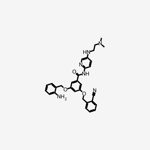 CN(C)CCNc1ccc(NC(=O)c2cc(OCc3ccccc3N)cc(OCc3ccccc3C#N)c2)nc1